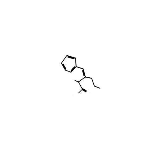 CCCC(=Cc1ccccc1)C(Br)C(=O)O